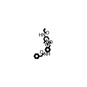 C=CC(=O)NC1CCN(S(=O)(=O)Cc2ccc(NC(=O)Cc3ccccc3)cc2)C(C)C1